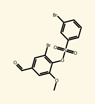 COc1cc(C=O)cc(Br)c1OS(=O)(=O)c1cccc(Br)c1